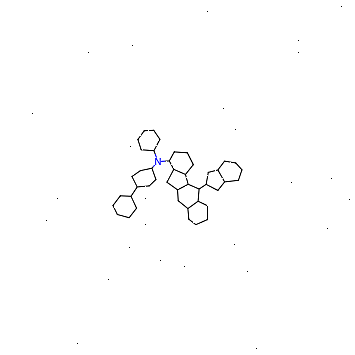 C1CCC(C2CCC(N(C3CCCCC3)C3CCCC4C3CC3CC5CCCCC5C(C5CC6CCCCC6C5)C34)CC2)CC1